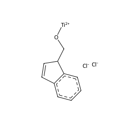 [Cl-].[Cl-].[Ti+2][O]CC1C=Cc2ccccc21